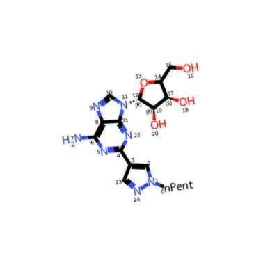 CCCCCn1cc(-c2nc(N)c3ncn([C@@H]4OC(CO)[C@@H](O)[C@H]4O)c3n2)cn1